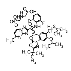 CC(C)Oc1cc(-n2nc(C(C)(C)C)oc2=O)c(Cl)cc1Cl.C[S+](C)C.Cc1ccn2nc(S(=O)(=O)Nc3c(F)cccc3F)nc2n1.O=C(O)CNCP(=O)([O-])O